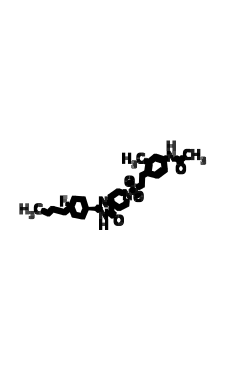 CCCC[C@]1(F)CC[C@@H](C2=NC3(CCN(S(=O)(=O)CCc4ccc(NC(C)=O)cc4C)CC3)C(=O)N2)CC1